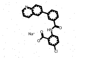 O=C(Nc1ccc(Cl)cc1C(=O)[O-])c1cccc(-c2ccc3ncccc3c2)c1.[Na+]